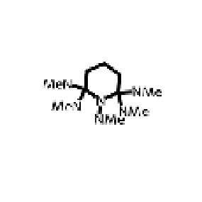 CNN1C(NC)(NC)CCCC1(NC)NC